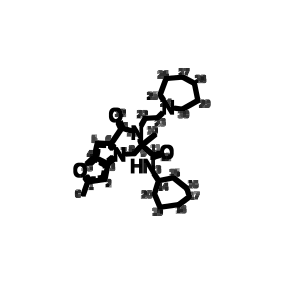 Cc1cc2c(cc3n2CC(C)(C(=O)NC2CCCCCC2)N(CCN2CCCCCC2)C3=O)o1